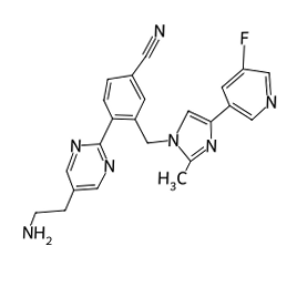 Cc1nc(-c2cncc(F)c2)cn1Cc1cc(C#N)ccc1-c1ncc(CCN)cn1